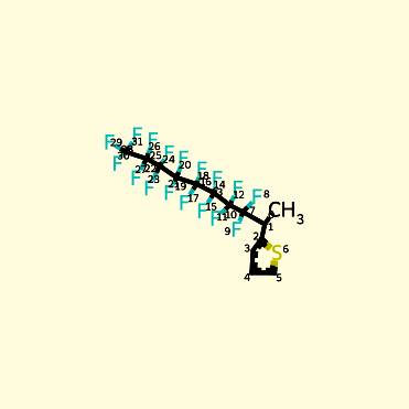 CC(c1cccs1)C(F)(F)C(F)(F)C(F)(F)C(F)(F)C(F)(F)C(F)(F)C(F)(F)C(F)(F)F